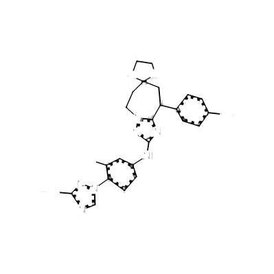 Cc1ncn(-c2ccc(Nc3nc4n(n3)CCC3(CC4c4ccc(F)cc4)OCCO3)cc2F)n1